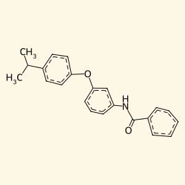 CC(C)c1ccc(Oc2cccc(NC(=O)c3ccccc3)c2)cc1